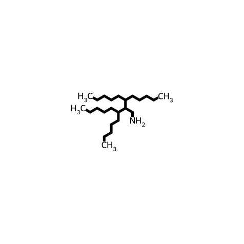 CCCCCC(CCCCC)C(CN)C(CCCCC)CCCCC